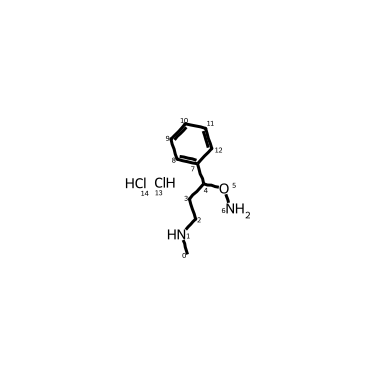 CNCCC(ON)c1ccccc1.Cl.Cl